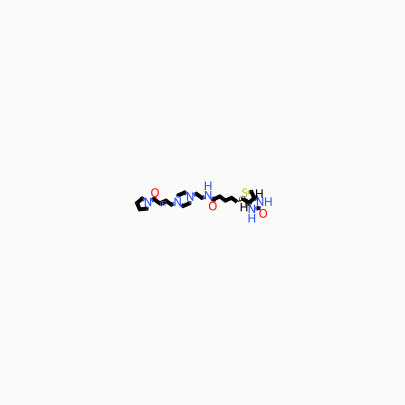 O=C(CCCC[C@@H]1SC[C@@H]2NC(=O)N[C@@H]21)NCCN1CCN(C/C=C/C(=O)N2CCCC2)CC1